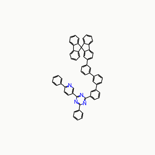 c1ccc(-c2ccc(-c3nc(-c4ccccc4)nc(-c4cccc(-c5cccc(-c6cccc(-c7ccc8c(c7)C7(c9ccccc9-c9ccccc97)c7ccccc7-8)c6)c5)c4)n3)cn2)cc1